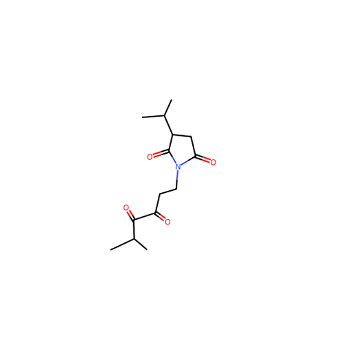 CC(C)C(=O)C(=O)CCN1C(=O)CC(C(C)C)C1=O